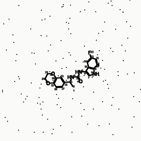 CC(NC(=O)Nc1c[nH]c2ncc(F)cc12)c1ccc2c(c1)OCCO2